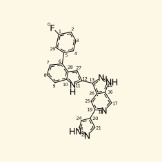 Fc1cccc(-c2cccc3[nH]c(-c4n[nH]c5cnc(-c6cn[nH]c6)cc45)cc23)c1